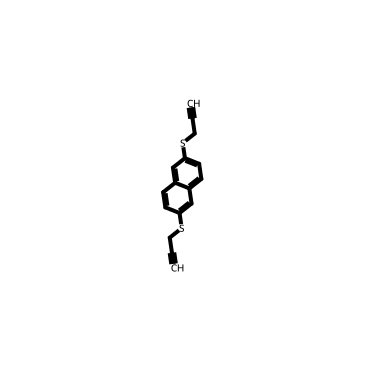 C#CCSc1ccc2cc(SCC#C)ccc2c1